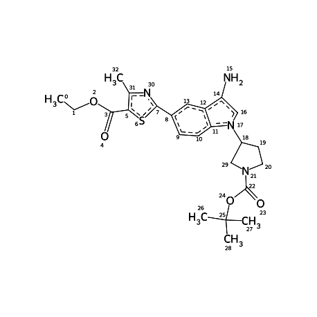 CCOC(=O)c1sc(-c2ccc3c(c2)c(N)cn3C2CCN(C(=O)OC(C)(C)C)C2)nc1C